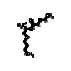 CCCCOCC(C)OC(=O)COCC